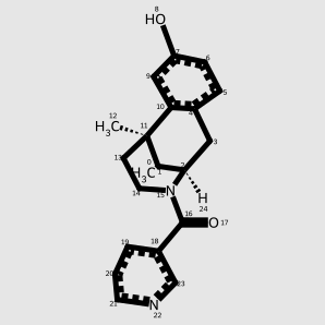 CC1[C@H]2Cc3ccc(O)cc3[C@]1(C)CCN2C(=O)c1cccnc1